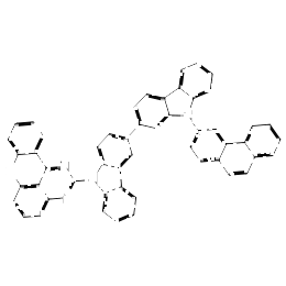 c1ccc2c(c1)Oc1cccc3nc(-n4c5ccccc5c5cc(-c6ccc7c8ccccc8n(-c8ccc9ccc%10ccccc%10c9c8)c7c6)ccc54)nc-2c13